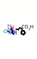 O=C(O)C(CCCn1ncc2nc(Cl)[nH]c(=O)c21)c1ccccc1